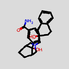 NC(=O)c1cccc(C2(O)C3CCC2CN(CC2(O)CCc4ccccc4C2)C3)c1